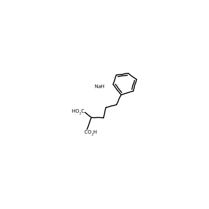 O=C(O)C(CCCc1ccccc1)C(=O)O.[NaH]